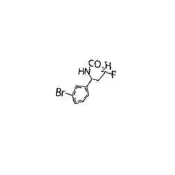 O=C(O)NC(CCF)c1cccc(Br)c1